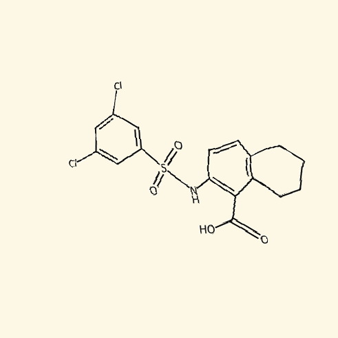 O=C(O)c1c(NS(=O)(=O)c2cc(Cl)cc(Cl)c2)ccc2c1CCCC2